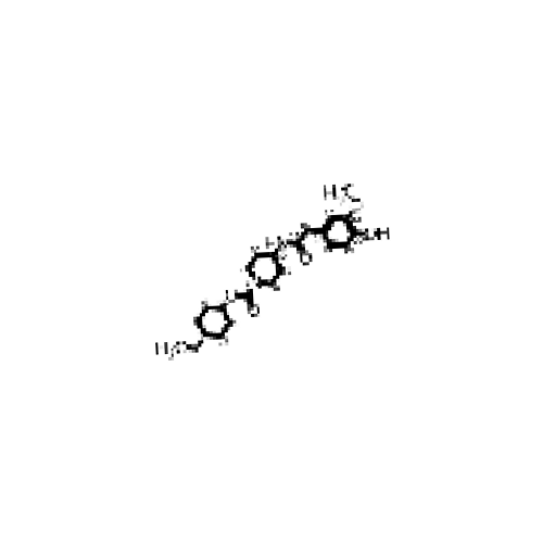 CC[C@H]1CC[C@@H](OC(=O)N2CCC(NC(=O)Cc3ccc(O)c(OC)c3)CC2)CC1